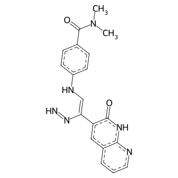 CN(C)C(=O)c1ccc(N/C=C(\N=N)c2cc3cccnc3[nH]c2=O)cc1